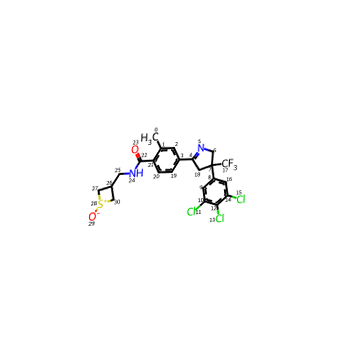 Cc1cc(C2=NCC(c3cc(Cl)c(Cl)c(Cl)c3)(C(F)(F)F)C2)ccc1C(=O)NCC1C[S+]([O-])C1